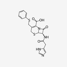 O=C(Cc1cnc[nH]1)N[C@@H]1C(=O)N2C(C(=O)O)=C(CSc3ccccc3)CSC12